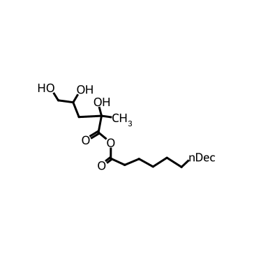 CCCCCCCCCCCCCCCC(=O)OC(=O)C(C)(O)CC(O)CO